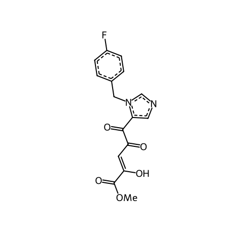 COC(=O)C(O)=CC(=O)C(=O)c1cncn1Cc1ccc(F)cc1